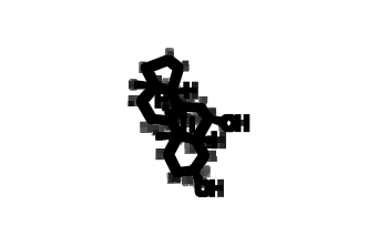 C[C@@]12CCC[C@H]1[C@@H]1C[C@@H](O)[C@@H]3C[C@@H](O)CC[C@]3(C)[C@H]1CC2